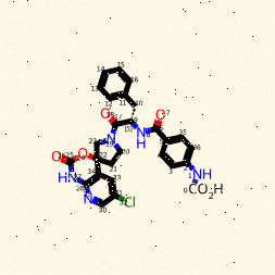 O=C(O)Nc1ccc(C(=O)N[C@@H](Cc2ccccc2)C(=O)N2CCC3(C2)OC(=O)Nc2ncc(Cl)cc23)cc1